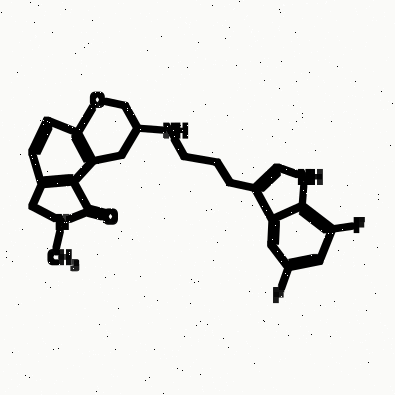 CN1Cc2ccc3c(c2C1=O)CC(NCCCc1c[nH]c2c(F)cc(F)cc12)CO3